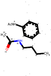 CC(=O)Nc1ccccc1.CCCCNC(C)=O